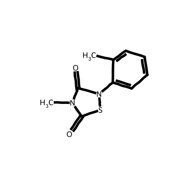 Cc1ccccc1-n1sc(=O)n(C)c1=O